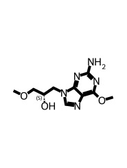 COC[C@@H](O)Cn1cnc2c(OC)nc(N)nc21